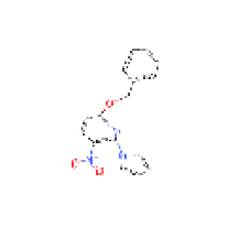 O=[N+]([O-])c1ccc(OCc2ccccc2)nc1-n1cccc1